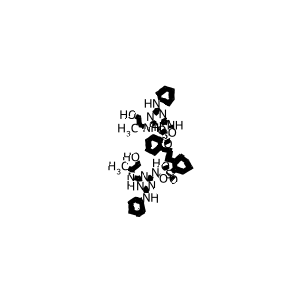 CC(CO)Nc1nc(NOS(=O)(=O)c2ccccc2C=Cc2ccccc2S(=O)(=O)ONc2nc(Nc3ccccc3)nc(NC(C)CO)n2)nc(Nc2ccccc2)n1